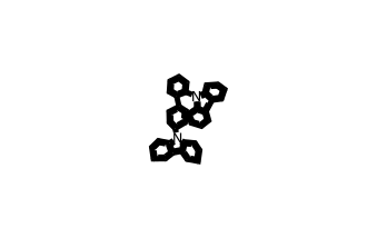 c1ccc(-n2c3ccccc3c3ccccc32)c(-c2ccc(-n3c4ccccc4c4ccccc43)cc2)c1